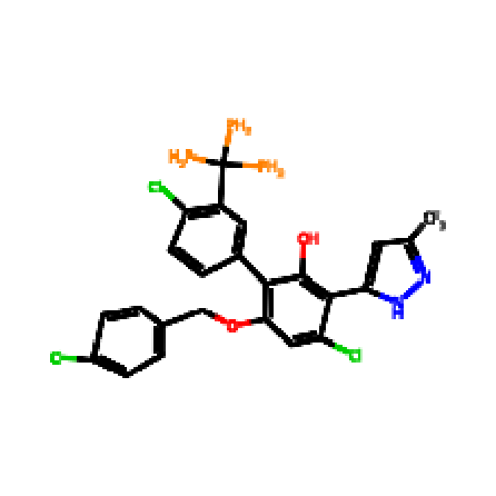 Oc1c(-c2cc(C(F)(F)F)n[nH]2)c(Cl)cc(OCc2ccc(Cl)cc2)c1-c1ccc(Cl)c(C(P)(P)P)c1